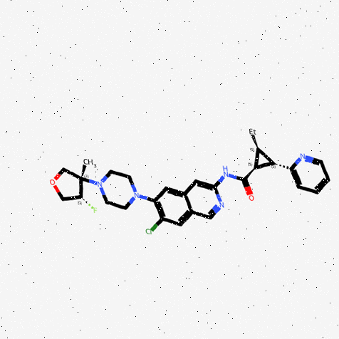 CC[C@@H]1[C@H](C(=O)Nc2cc3cc(N4CCN([C@@]5(C)COC[C@H]5F)CC4)c(Cl)cc3cn2)[C@H]1c1ccccn1